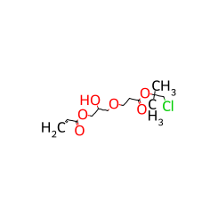 C=CC(=O)OCC(O)COCCC(=O)OC(C)(C)CCl